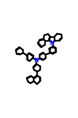 C1=CCC(C2=CCC(N(C3=CCC(c4cccc(N5C6=C(CCC7=CC=CCC76)C6CCC=CC65)c4)C=C3)C3=CCC(C4=C5C=CCCC5CC=C4)CC3)C=C2)C=C1